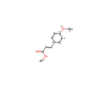 CC(C)OC(=O)C=Cc1ccc(OC(C)(C)C)cc1